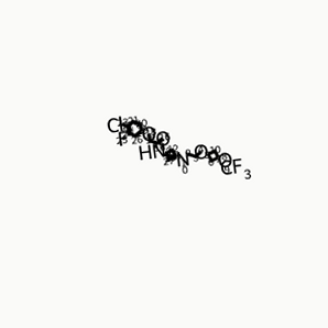 CN(CCOC1CC(OC(F)(F)F)C1)C12CC(NC(=O)COc3ccc(Cl)c(F)c3)(C1)C2